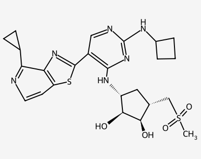 CS(=O)(=O)C[C@H]1C[C@@H](Nc2nc(NC3CCC3)ncc2-c2nc3c(C4CC4)nccc3s2)[C@H](O)[C@@H]1O